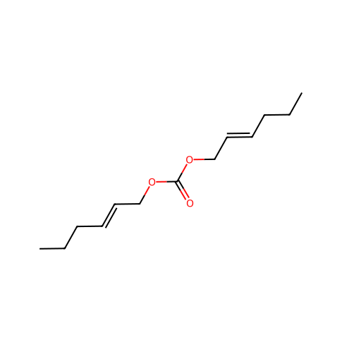 CCC/C=C/COC(=O)OC/C=C/CCC